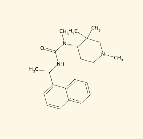 C[C@H](NC(=O)N(C)[C@H]1CCN(C)CC1(C)C)c1cccc2ccccc12